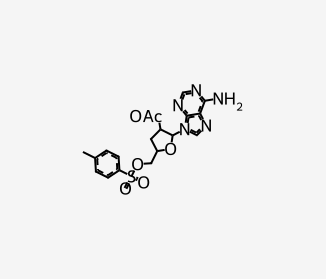 CC(=O)OC1CC(COS(=O)(=O)c2ccc(C)cc2)OC1n1cnc2c(N)ncnc21